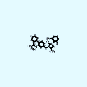 CCCc1cn(-c2c(F)cccc2C(C)C)c(=O)n1Cc1ccc(-c2ccccc2-c2nnn[nH]2)cc1